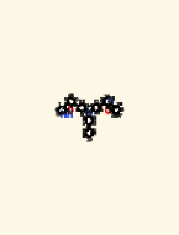 C1=Cc2c(oc3c(-c4ccc(N(c5ccc(-c6ccccc6)cc5)c5ccc(-c6ccnc7c6oc6ccccc67)cc5)cc4)cccc23)NC1